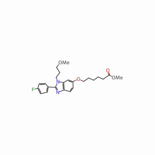 COCCCn1c(-c2ccc(F)cc2)nc2ccc(OCCCCCC(=O)OC)cc21